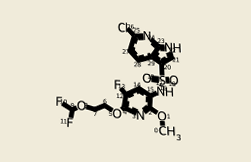 COc1nc(OCCOC(F)F)c(F)cc1NS(=O)(=O)c1c[nH]c2nc(Cl)ccc12